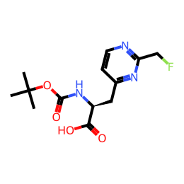 CC(C)(C)OC(=O)N[C@@H](Cc1ccnc(CF)n1)C(=O)O